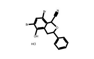 Cl.N#CC1OC(c2ccccc2)Cc2c(O)c(Br)cc(Br)c21